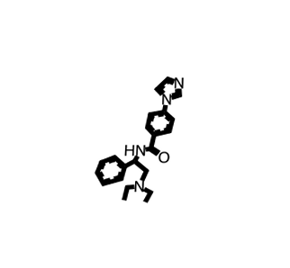 CCN(CC)CC(NC(=O)c1ccc(-n2ccnc2)cc1)c1ccccc1